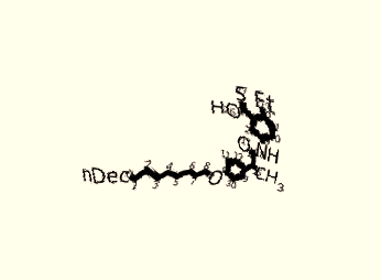 CCCCCCCCCCCCCCCCCCOc1ccc(C(C)C(=O)Nc2ccc(CC)c(C(O)=S)c2)cc1